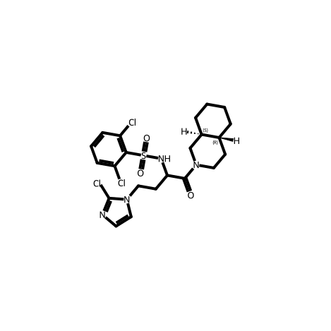 O=C(C(CCn1ccnc1Cl)NS(=O)(=O)c1c(Cl)cccc1Cl)N1CC[C@H]2CCCC[C@@H]2C1